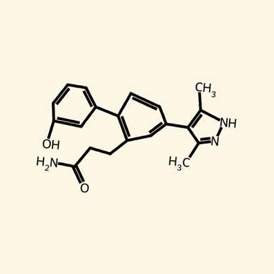 Cc1n[nH]c(C)c1-c1ccc(-c2cccc(O)c2)c(CCC(N)=O)c1